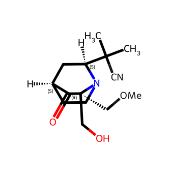 COC[C@]1(CO)C(=O)[C@H]2CCN1[C@H](C(C)(C)C#N)C2